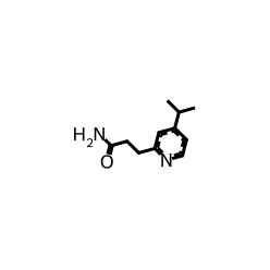 CC(C)c1ccnc(CCC(N)=O)c1